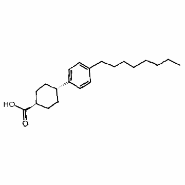 CCCCCCCCc1ccc([C@H]2CC[C@H](C(=O)O)CC2)cc1